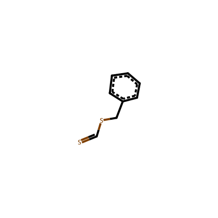 S=CSCc1ccccc1